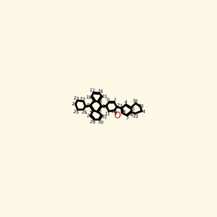 C1=CC2c3cc4c(cc3OC2CC1c1c2ccccc2c(C2CCCCC2)c2ccccc12)CCCC4